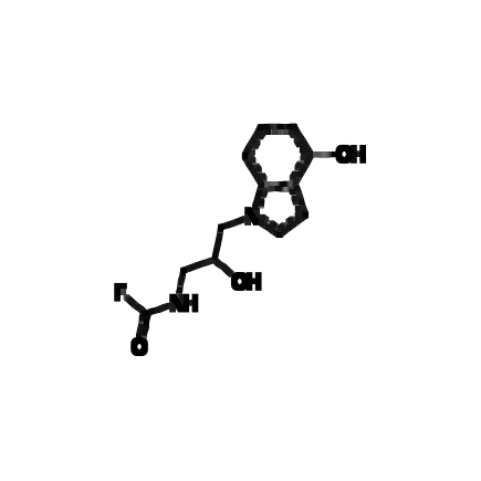 O=C(F)NCC(O)Cn1ccc2c(O)cccc21